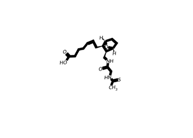 CC(=S)NCC(=O)NC[C@H]1[C@@H](C/C=C\CCCC(=O)O)[C@H]2CC[C@@H]1O2